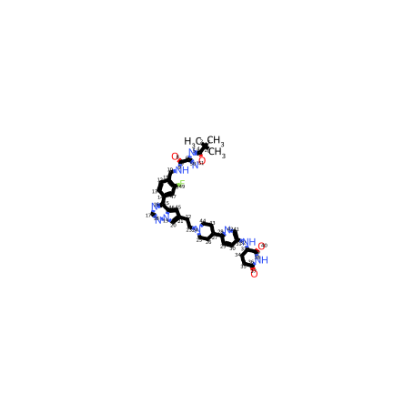 CC(C)(C)c1nc(C(=O)NCc2ccc(-c3ncnn4cc(CCN5CCC(c6ccc(NC7CCC(=O)NC7=O)cn6)CC5)cc34)cc2F)no1